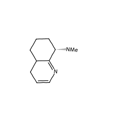 CN[C@H]1CCCC2CC=CN=C21